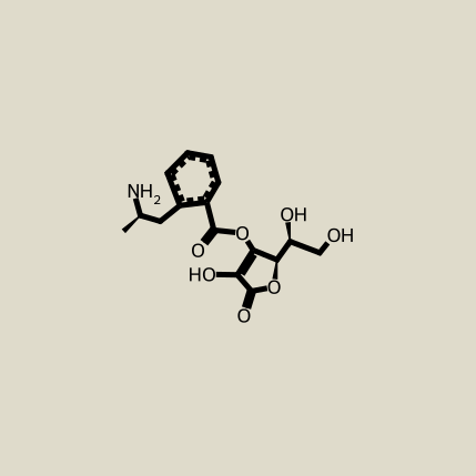 C[C@@H](N)Cc1ccccc1C(=O)OC1=C(O)C(=O)O[C@@H]1[C@@H](O)CO